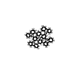 c1ccc(S(c2ccccc2)(c2cc(-n3c4ccccc4c4ccccc43)cc(-n3c4ccccc4c4ccccc43)c2)c2cc(-n3c4ccccc4c4ccccc43)cc(-n3c4ccccc4c4ccccc43)c2)cc1